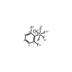 Fc1cccc(F)c1S(F)(F)(F)(F)Cl